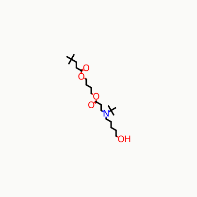 CC(C)(C)CCC(=O)OCCCCOC(=O)CCN(CCCCCO)C(C)(C)C